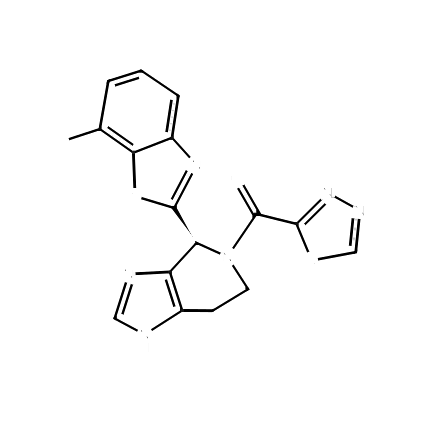 O=C(c1nncs1)N1CCc2[nH]cnc2[C@H]1c1nc2cccc(F)c2s1